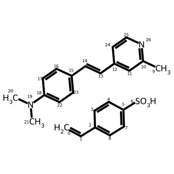 C=Cc1ccc(S(=O)(=O)O)cc1.Cc1cc(C=Cc2ccc(N(C)C)cc2)ccn1